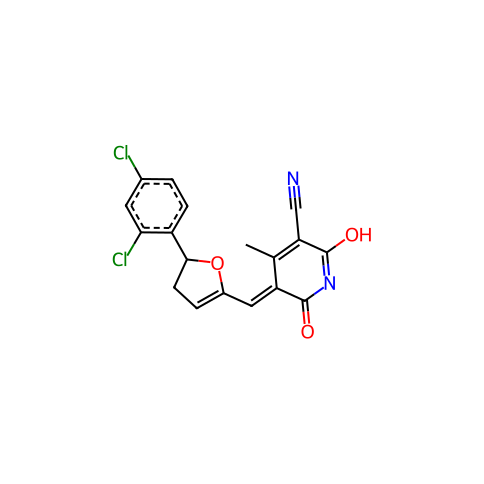 CC1=C(C#N)C(O)=NC(=O)/C1=C/C1=CCC(c2ccc(Cl)cc2Cl)O1